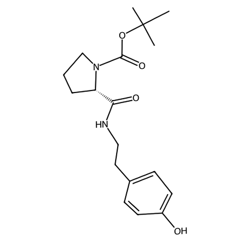 CC(C)(C)OC(=O)N1CCC[C@H]1C(=O)NCCc1ccc(O)cc1